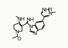 CN/C=C(\C=N)c1ccc2ncn(C(=N)C3=C(NC)CCN(C(C)=O)C3)c2c1